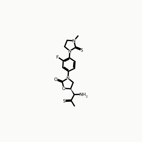 CC(=S)C(N)[C@@H]1CN(c2ccc(N3CCN(C)C3=S)c(F)c2)C(=O)O1